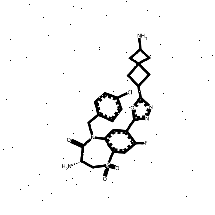 NC1CC2(C1)CC(c1nnc(-c3cc4c(cc3F)S(=O)(=O)C[C@H](N)C(=O)N4Cc3ccc(Cl)cc3)o1)C2